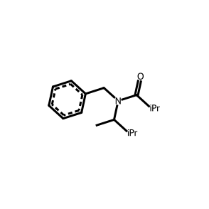 CC(C)C(=O)N(Cc1ccccc1)C(C)C(C)C